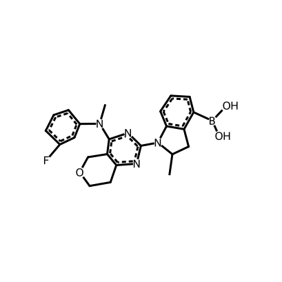 CC1Cc2c(B(O)O)cccc2N1c1nc2c(c(N(C)c3cccc(F)c3)n1)COCC2